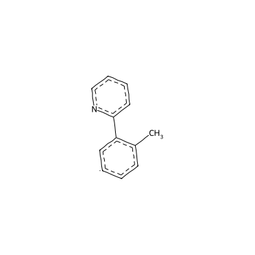 Cc1cc[c]cc1-c1ccccn1